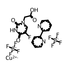 F[B-](F)(F)F.F[B-](F)(F)F.O=C(O)Cn1cc(F)c(=O)[nH]c1=O.[Cu+2].c1ccc(-c2ccccn2)nc1